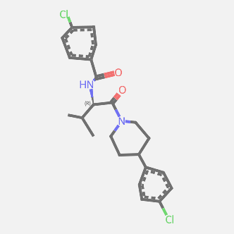 CC(C)[C@@H](NC(=O)c1ccc(Cl)cc1)C(=O)N1CCC(c2ccc(Cl)cc2)CC1